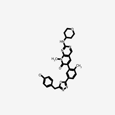 Cc1ccc(-c2nnc(Cc3ccc(Cl)cc3)o2)cc1-c1cc2cnc(NC3CCOCC3)nc2n(C)c1=O